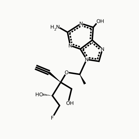 C#C[C@](CO)(O[C@H](C)n1cnc2c(O)nc(N)nc21)[C@@H](O)CF